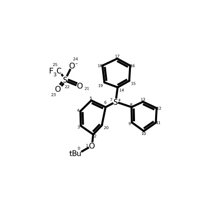 CC(C)(C)Oc1cccc([S+](c2ccccc2)c2ccccc2)c1.O=S(=O)([O-])C(F)(F)F